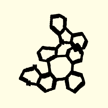 c1ccc2c(c1)-c1ccccc1-c1c(cccc1-n1c3ccccc3c3ccccc31)-c1c-2ccc2nccnc12